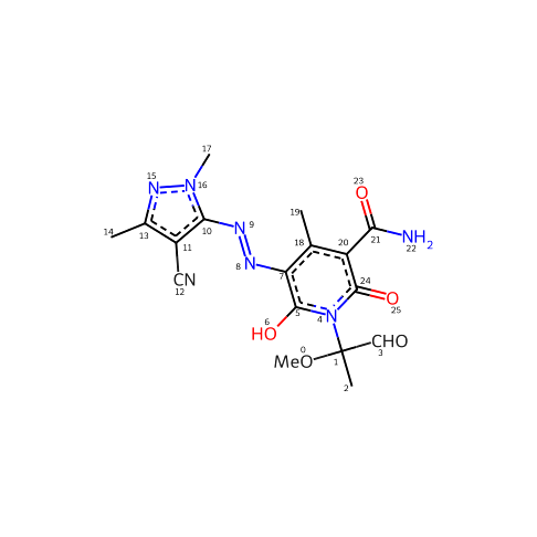 COC(C)(C=O)n1c(O)c(N=Nc2c(C#N)c(C)nn2C)c(C)c(C(N)=O)c1=O